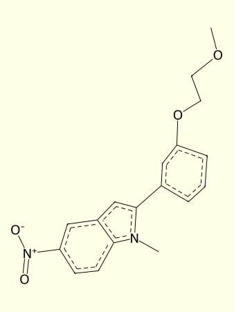 COCCOc1cccc(-c2cc3cc([N+](=O)[O-])ccc3n2C)c1